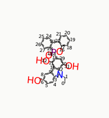 CCn1c2ccc(O)cc2c2c(O)c(P3(=O)Oc4ccccc4-c4ccccc43)cc(O)c21